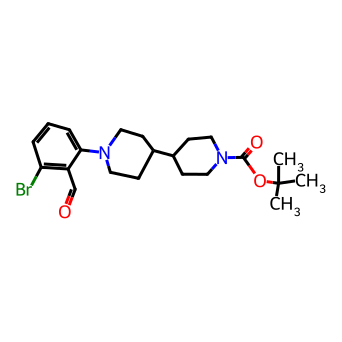 CC(C)(C)OC(=O)N1CCC(C2CCN(c3cccc(Br)c3C=O)CC2)CC1